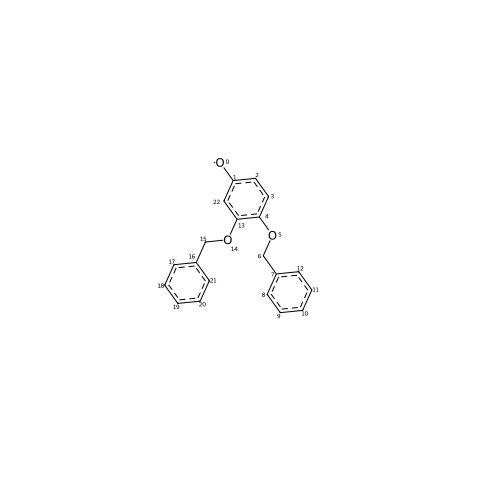 [O]c1ccc(OCc2ccccc2)c(OCc2ccccc2)c1